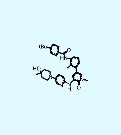 Cc1c(NC(=O)c2ccc(C(C)(C)C)cc2)cccc1-c1cc(Nc2ccc(N3CCC(C)(O)CC3)cn2)c(=O)n(C)c1